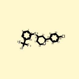 FC(F)(F)c1cccc(SC2CCOC(c3ccc(Cl)cc3)C2)c1